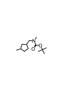 CC1CCC(CN(C)C(=O)OC(C)(C)C)C1